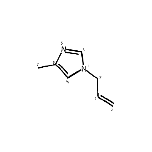 C=CCn1cnc(C)c1